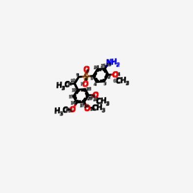 COc1ccc(S(=O)(=O)CC(C)c2cc(OC)c(OC)c(OC)c2)cc1N